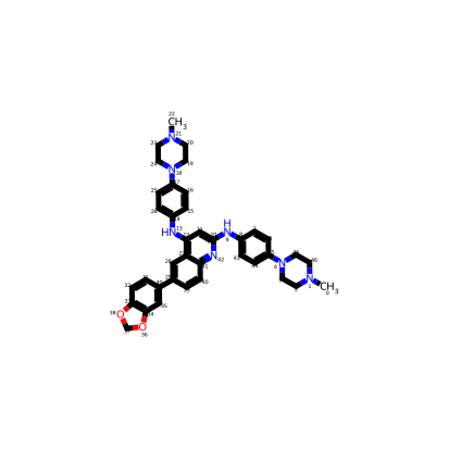 CN1CCN(c2ccc(Nc3cc(Nc4ccc(N5CCN(C)CC5)cc4)c4cc(-c5ccc6c(c5)OCO6)ccc4n3)cc2)CC1